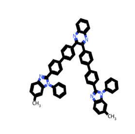 Cc1ccc2nc(-c3ccc(-c4ccc(-c5nc6ccccc6nc5-c5ccc(-c6ccc(-c7nc8ccc(C)cc8n7-c7ccccc7)cc6)cc5)cc4)cc3)n(-c3ccccc3)c2c1